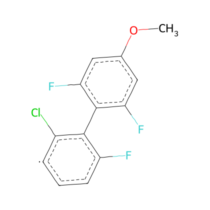 COc1cc(F)c(-c2c(Cl)[c]ccc2F)c(F)c1